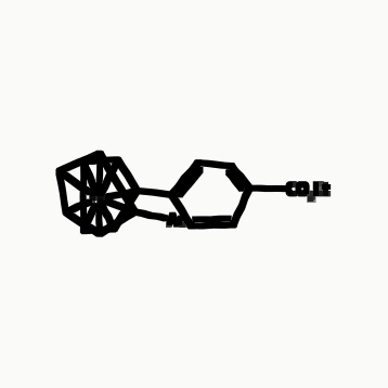 CCOC(=O)c1ccc([C]23[CH]4[CH]5[CH]6[CH]2[Fe]56432789[CH]3[CH]2[CH]7[C]8(C(C)=O)[CH]39)cc1